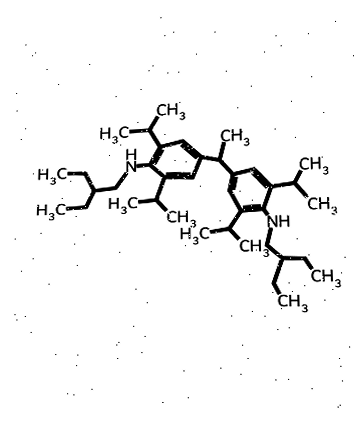 CCC(CC)CNc1c(C(C)C)cc(C(C)c2cc(C(C)C)c(NCC(CC)CC)c(C(C)C)c2)cc1C(C)C